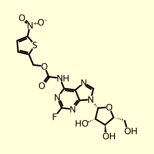 O=C(Nc1nc(F)nc2c1ncn2[C@@H]1O[C@H](CO)[C@@H](O)[C@@H]1O)OCc1ccc([N+](=O)[O-])s1